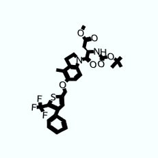 COC(=O)C[C@@H](NC(=O)OC(C)(C)C)C(=O)N1CCc2c1ccc(OCc1cc(-c3ccccc3)c(C(F)(F)F)s1)c2C